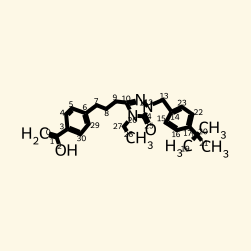 C=C(O)c1ccc(CCCc2nn(Cc3ccc(C(C)(C)C)cc3)c(=O)n2CC)cc1